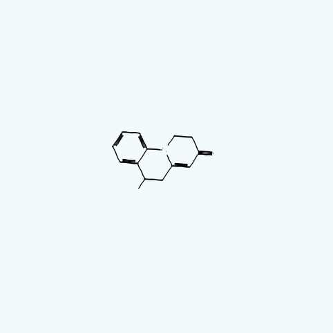 CC1CC2=CC(=O)CCN2c2ccccc21